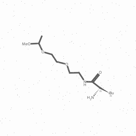 CC[C@H](C)[C@H](N)C(=O)NCCOCCOC(C)OC